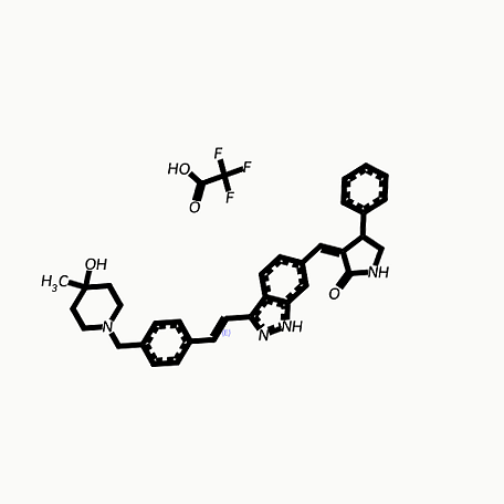 CC1(O)CCN(Cc2ccc(/C=C/c3n[nH]c4cc(C=C5C(=O)NCC5c5ccccc5)ccc34)cc2)CC1.O=C(O)C(F)(F)F